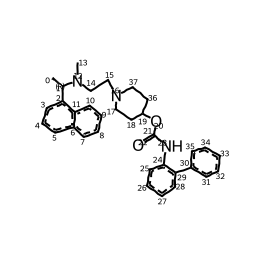 C[C@H](c1cccc2ccccc12)N(C)CCN1CCC(OC(=O)Nc2ccccc2-c2ccccc2)CC1